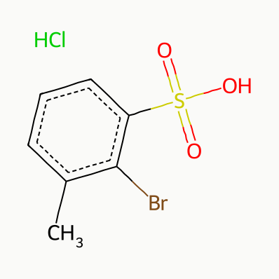 Cc1cccc(S(=O)(=O)O)c1Br.Cl